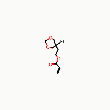 C=CC(=O)OCCC1(CC)COCOC1